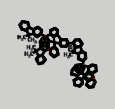 CC1(C)c2ccccc2-c2ccc(N(c3ccc4c(c3)C(C)(C)c3ccccc3-4)c3cccc4c3C3(c5ccccc5-c5ccccc53)c3ccc(-c5cccc6c5C(C)(C)c5cc(N(c7ccccc7-c7ccccc7)c7cccc8c7C7(c9ccccc9-c9ccccc97)c7ccccc7-8)ccc5-6)cc3-4)cc21